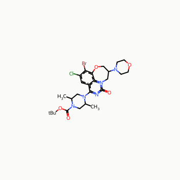 CC1CN(c2nc(=O)n3c4c(c(Br)c(Cl)cc24)OCC(N2CCOCC2)C3)C(C)CN1C(=O)OC(C)(C)C